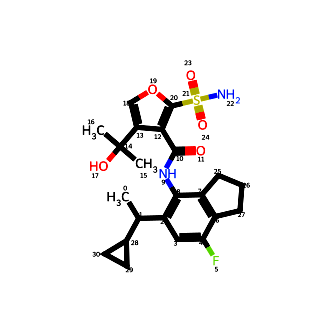 CC(c1cc(F)c2c(c1NC(=O)c1c(C(C)(C)O)coc1S(N)(=O)=O)CCC2)C1CC1